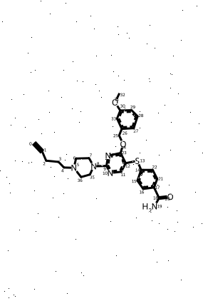 C#CCCCN1CCN(c2ncc(Sc3ccc(C(N)=O)cc3)c(OCc3cccc(OC)c3)n2)CC1